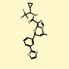 Cc1cc(-c2cccc(-c3ncco3)c2)nc2c(C(=O)NC(C3CC3)C(F)(F)F)ncn12